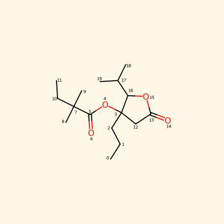 CCCC1(OC(=O)C(C)(C)CC)CC(=O)OC1C(C)C